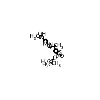 CC(c1ccc2c(c1)sc(=O)n2COCC[Si](C)(C)C)c1ccn(-c2ccc(N3CC(C)(O)C3)cn2)n1